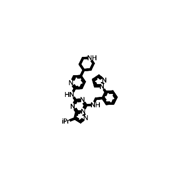 CC(C)c1cnn2c(NCc3ccccc3-n3cccn3)nc(Nc3ccc(C4CCNCC4)cn3)nc12